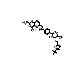 CC(C)(C)c1nnc(CC[C@H](NC(=O)c2ccc(NCc3cnc4nc(N)nc(O)c4n3)cc2)C(=O)O)o1